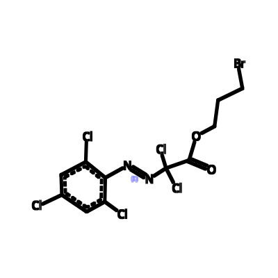 O=C(OCCCBr)C(Cl)(Cl)/N=N/c1c(Cl)cc(Cl)cc1Cl